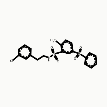 Cc1ccc(S(=O)(=O)c2ccccc2)cc1S(=O)(=O)NCCc1cccc(Cl)c1